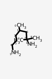 CC(CCCN)CC(C)(C)N